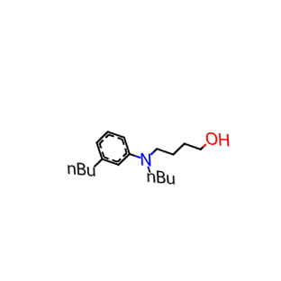 CCCCc1cccc(N(CCCC)CCCCO)c1